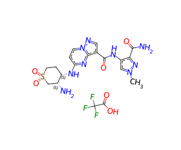 Cn1cc(NC(=O)c2cnn3ccc(N[C@H]4CCS(=O)(=O)C[C@H]4N)nc23)c(C(N)=O)n1.O=C(O)C(F)(F)F